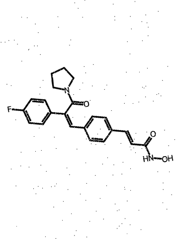 O=C(/C=C/c1ccc(C=C(C(=O)N2CCCC2)c2ccc(F)cc2)cc1)NO